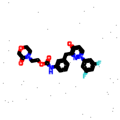 O=C(Nc1cccc(Cc2nn(-c3cc(F)cc(F)c3)ccc2=O)c1)OCCN1CCOCC1=O